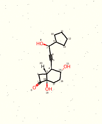 O=C1C[C@@H]2[C@@H](C#C[C@@H](O)C3CCCC3)[C@H](O)CC[C@]12O